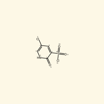 O=c1[nH]cc(Cl)cc1S(=O)(=O)Cl